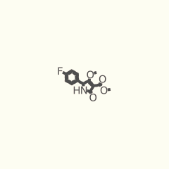 COC(=O)C1=C(OC)C(c2ccc(F)cc2)NC1=O